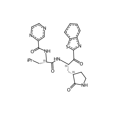 CC(C)C[C@H](NC(=O)c1cnccn1)C(=O)N[C@@H](C[C@@H]1CCNC1=O)C(=O)c1nc2ccccc2s1